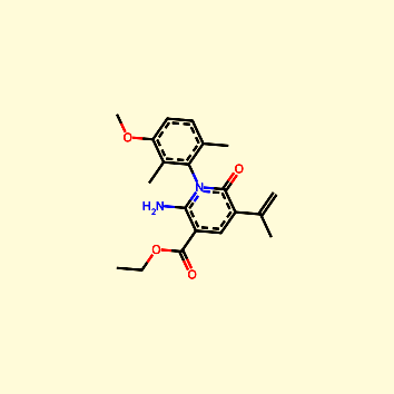 C=C(C)c1cc(C(=O)OCC)c(N)n(-c2c(C)ccc(OC)c2C)c1=O